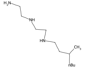 CCCCC(C)CCNCCNCCN